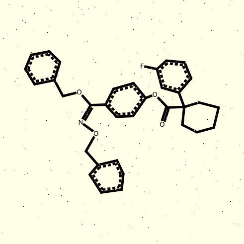 O=C(Oc1ccc(/C(=N\OCc2ccccc2)OCc2ccccc2)cc1)C1(c2cccc(F)c2)CCCCC1